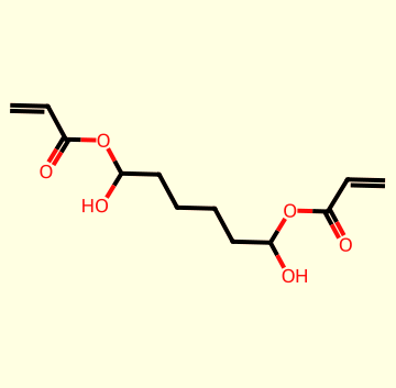 C=CC(=O)OC(O)CCCCC(O)OC(=O)C=C